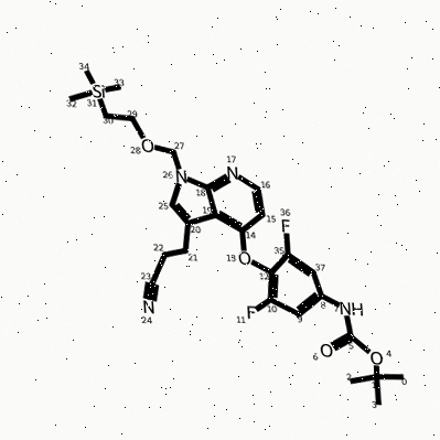 CC(C)(C)OC(=O)Nc1cc(F)c(Oc2ccnc3c2c(CCC#N)cn3COCC[Si](C)(C)C)c(F)c1